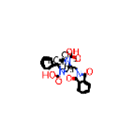 CC(C)(C)N(C(=O)O)[C@H](CN(Cc1ccccc1)C(=O)O)CN1C(=O)c2ccccc2C1=O